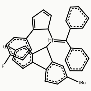 CC(C)(C)c1ccc2c(c1)[CH]([Hf](=[C](c1ccccc1)c1ccccc1)[CH]1C=CC=C1c1ccc(F)cc1)c1cc(C(C)(C)C)ccc1-2